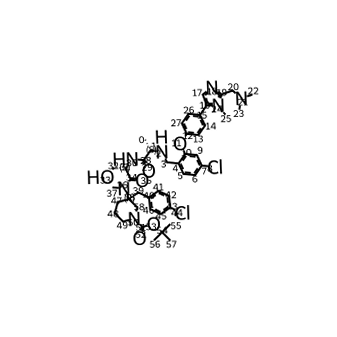 C[C@H](NCc1ccc(Cl)cc1Oc1ccc(-c2cnc(CN(C)C)n2C)cc1)C(=O)N[C@@H](CO)C(=O)N(C)[C@@]1(Cc2ccc(Cl)cc2)CCCN(C(=O)OC(C)(C)C)C1